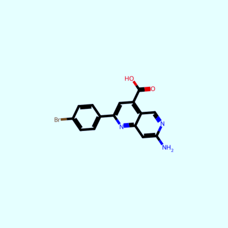 Nc1cc2nc(-c3ccc(Br)cc3)cc(C(=O)O)c2cn1